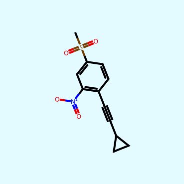 CS(=O)(=O)c1ccc(C#CC2CC2)c([N+](=O)[O-])c1